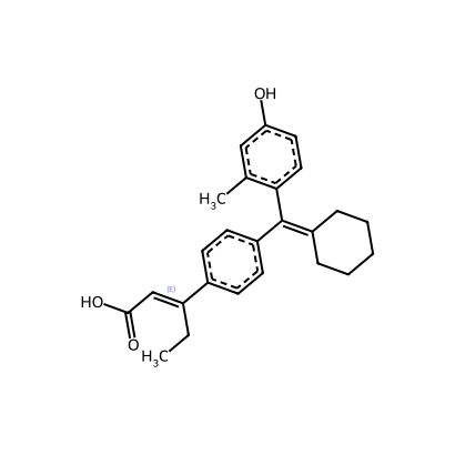 CC/C(=C\C(=O)O)c1ccc(C(=C2CCCCC2)c2ccc(O)cc2C)cc1